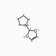 C1=COC(N2CCCC2)O1